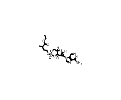 CCOC(=O)C(C)CCOP1(=O)OC[C@@H]2O[C@H]3C(C3n3cnc4c(N)nncc43)[C@H]2O1